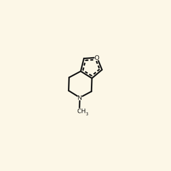 CN1CCc2cocc2C1